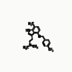 Cc1ccc(OCc2ccc(C(F)(F)F)cc2)c2c(CCN(C)C)c[nH]c12